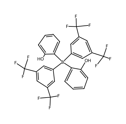 Oc1ccccc1[B-](c1cc(C(F)(F)F)cc(C(F)(F)F)c1)(c1cc(C(F)(F)F)cc(C(F)(F)F)c1)c1ccccc1O